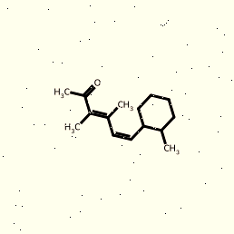 CC(=O)/C(C)=C(C)/C=C\C1CCCCC1C